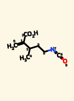 C=C(C(=O)O)C(C)CCN=C=O